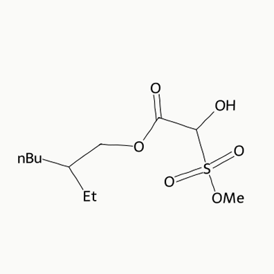 CCCCC(CC)COC(=O)C(O)S(=O)(=O)OC